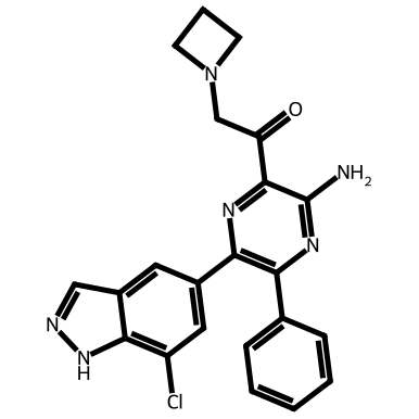 Nc1nc(-c2ccccc2)c(-c2cc(Cl)c3[nH]ncc3c2)nc1C(=O)CN1CCC1